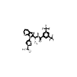 CC(NC(=O)c1cc(C(F)(F)F)cc(C(F)(F)F)c1)c1nc2cccnc2n1-c1ccc(C(=O)O)cn1